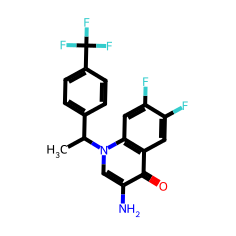 CC(c1ccc(C(F)(F)F)cc1)n1cc(N)c(=O)c2cc(F)c(F)cc21